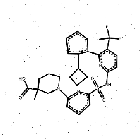 CC1(C(=O)O)CCCN(c2cccc(S(=O)(=O)Nc3ccc(C(F)(F)F)c(-c4ccccc4C4CCC4)n3)n2)C1